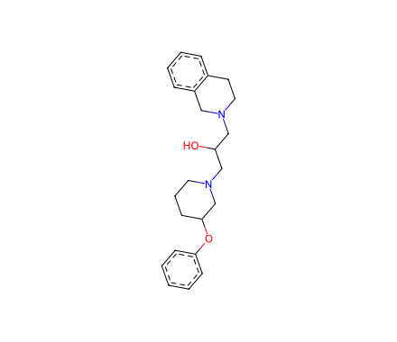 OC(CN1CCc2ccccc2C1)CN1CCCC(Oc2ccccc2)C1